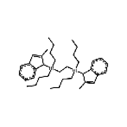 CCC[CH2][Hf]([CH2]CCC)([CH2][CH2][Hf]([CH2]CCC)([CH2]CCC)[CH]1C(C)=Cc2ccccc21)[CH]1C(C)=Cc2ccccc21